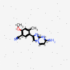 COc1cc(C)c(-c2cn3ccc(N)nc3n2)cc1C#N